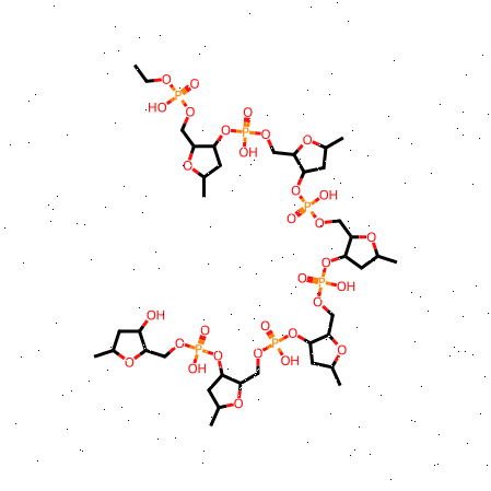 CCOP(=O)(O)OCC1OC(C)CC1OP(=O)(O)OCC1OC(C)CC1OP(=O)(O)OCC1OC(C)CC1OP(=O)(O)OCC1OC(C)CC1OP(=O)(O)OCC1OC(C)CC1OP(=O)(O)OCC1OC(C)CC1O